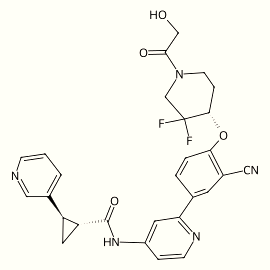 N#Cc1cc(-c2cc(NC(=O)[C@@H]3C[C@H]3c3cccnc3)ccn2)ccc1O[C@H]1CCN(C(=O)CO)CC1(F)F